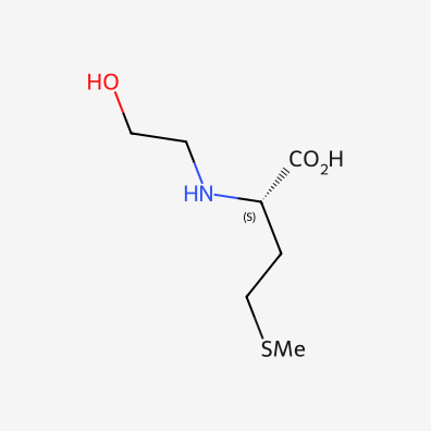 CSCC[C@H](NCCO)C(=O)O